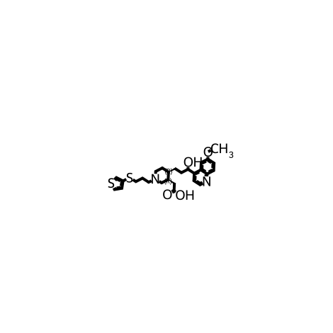 COc1ccc2nccc(C(O)CC[C@@H]3CCN(CCCSc4ccsc4)C[C@@H]3CC(=O)O)c2c1